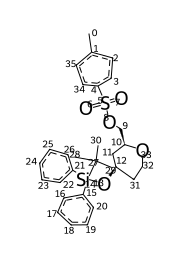 Cc1ccc(S(=O)(=O)OC[C@@H]2C[C@H](O[Si](c3ccccc3)(c3ccccc3)C(C)(C)C)CCO2)cc1